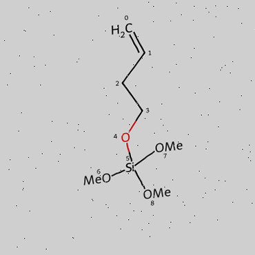 C=CCCO[Si](OC)(OC)OC